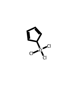 [Cl][Zr]([Cl])([Cl])[CH]1C=CC=C1